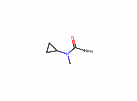 CNC(=O)N(C)C1CC1